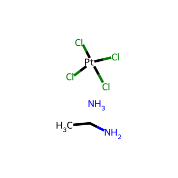 CCN.N.[Cl][Pt]([Cl])([Cl])[Cl]